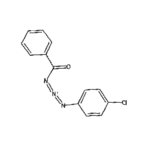 O=C(N=[N+]=Nc1ccc(Cl)cc1)c1ccccc1